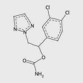 NC(=O)OC(Cn1nccn1)c1ccc(Cl)c(Cl)c1